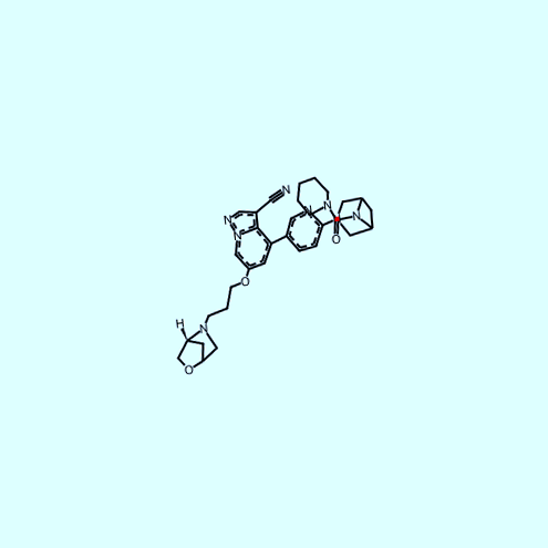 N#Cc1cnn2cc(OCCCN3CC4C[C@@H]3CO4)cc(-c3ccc(N4CC5CC(C4)N5C(=O)N4CCCCC4)nc3)c12